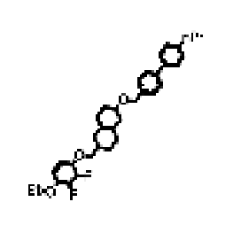 CCCc1ccc(-c2ccc(COC3CCC4CC(COC5C=CC(OCC)=C(F)C5F)CCC4C3)cc2)cc1